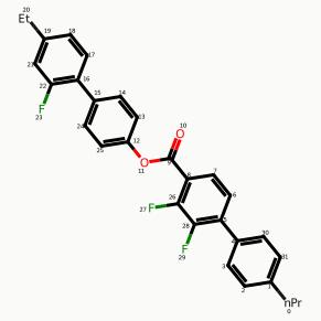 CCCc1ccc(-c2ccc(C(=O)Oc3ccc(-c4ccc(CC)cc4F)cc3)c(F)c2F)cc1